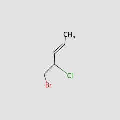 CC=CC(Cl)CBr